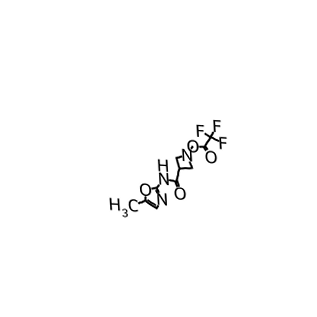 Cc1cnc(NC(=O)C2CN(OC(=O)C(F)(F)F)C2)o1